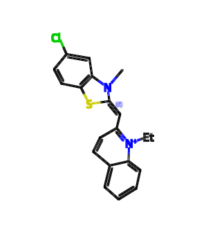 CC[n+]1c(/C=C2\Sc3ccc(Cl)cc3N2C)ccc2ccccc21